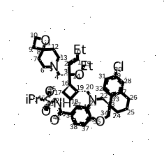 CC/C=C/[C@@](CN1CCC2(CCO2)CC1)(OCC)[C@@H]1CC[C@H]1CN1C[C@@]2(CCCc3cc(Cl)ccc32)COc2ccc(C(=O)NS(=O)(=O)C(C)C)cc21